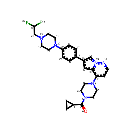 O=C(C1CC1)N1CCN(c2ccnn3cc(-c4ccc(N5CCN(CC(F)F)CC5)cc4)cc23)CC1